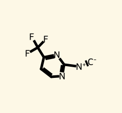 [C-]#[N+]c1nccc(C(F)(F)F)n1